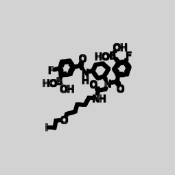 O=C(CN(C(=O)c1ccc(F)c(B(O)O)c1)C1CCCC(NC(=O)c2ccc(F)c(B(O)O)c2)C1)NCCCCCOCCI